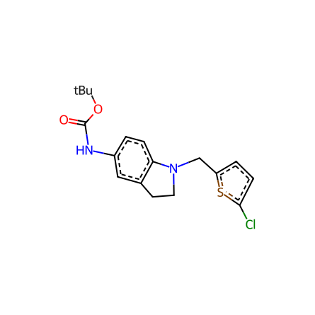 CC(C)(C)OC(=O)Nc1ccc2c(c1)CCN2Cc1ccc(Cl)s1